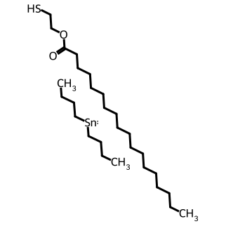 CCCCCCCCCCCCCCCCCC(=O)OCCS.CCC[CH2][Sn][CH2]CCC